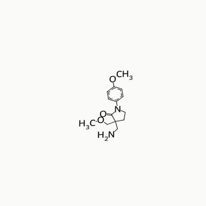 COCC1(CN)CCN(c2ccc(OC)cc2)C1=O